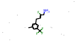 Cc1cc(CC=C(F)CN)cc(C(F)(F)F)c1